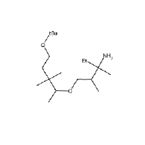 CCC(C)(N)C(C)COC(C)C(C)(C)CCOC(C)(C)C